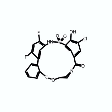 O=C1c2cc(Cl)c(O)c(c2)S(=O)(=O)Nc2cc(c(F)cc2F)-c2ccccc2COC2CN1C2